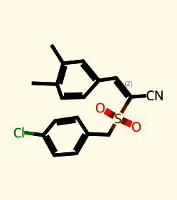 Cc1ccc(/C=C(/C#N)S(=O)(=O)Cc2ccc(Cl)cc2)cc1C